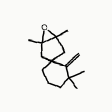 C=C1C(C)(C)CCCC12CC1(C)OC1(C)C2